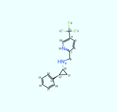 FC(F)(F)c1ccc(CN[C@@H]2C[C@H]2c2ccccc2)nc1